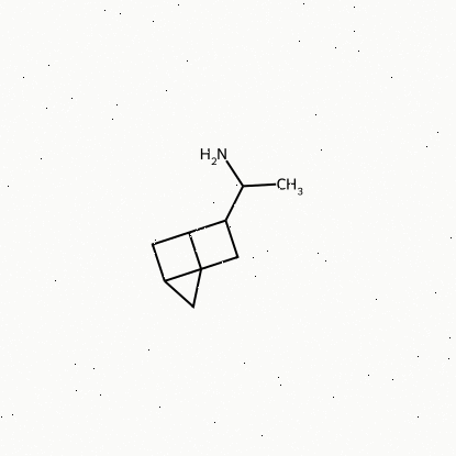 CC(N)C1CC23CC2CC13